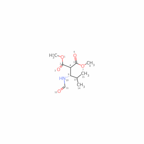 COC(=O)C(C(=O)OC)[C@@H](NC=O)C(C)C